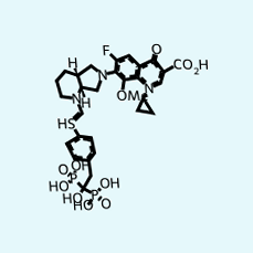 COc1c(N2C[C@H]3CCCN(C=[SH]c4ccc(CC(O)(P(=O)(O)O)P(=O)(O)O)cc4)[C@H]3C2)c(F)cc2c(=O)c(C(=O)O)cn(C3CC3)c12